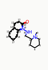 CN1CCCCC1CNn1c(=O)ccc2ccccc21